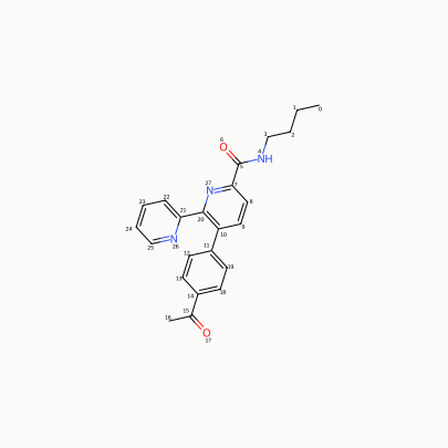 CCCCNC(=O)c1ccc(-c2ccc(C(C)=O)cc2)c(-c2ccccn2)n1